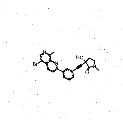 Cc1ncc(Br)c2ccc(-c3cccc(C#CC4(O)CCN(C)C4=O)c3)nc12